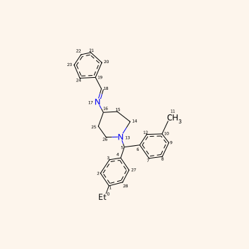 CCc1ccc(C(c2cccc(C)c2)N2CCC(N=Cc3ccccc3)CC2)cc1